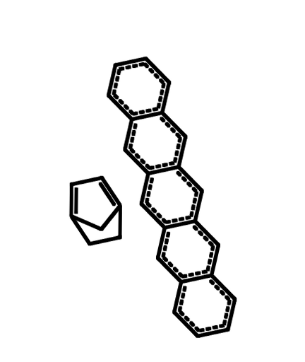 C1=C2CCC(=C1)C2.c1ccc2cc3cc4cc5ccccc5cc4cc3cc2c1